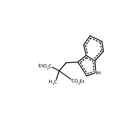 CCOC(=O)C(C)(Cc1c[nH]c2ccccc12)C(=O)OCC